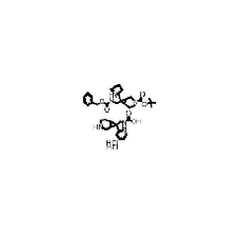 CC(C)(C)OC(=O)N1CCC2C(C1)C2(CNC(=O)OCc1ccccc1)c1ccccn1.Cl.Cl.O=C(O)NCC1(c2ccccn2)C2CCNCC21